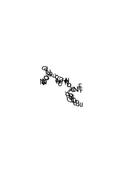 Cc1cc(C)c2c(ccn2C(=O)OC(C)(C)C)c1C[C@@H]1CCN(C(CF)CF)C[C@H]1c1ccc(-n2cc(C(C)(C)OC(=O)n3ccc4c(C[C@@H]5CCN(C6COC6)C[C@H]5c5ccc(-n6cccn6)cc5)c(C)cc(C)c43)cn2)cc1